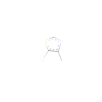 [CH2]Cc1ncsc1N